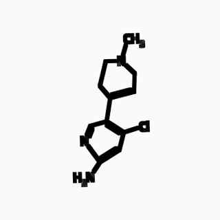 CN1CC=C(c2cnc(N)cc2Cl)CC1